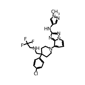 Cn1cc(Nc2nc3c(N4CCC(CNCC(F)(F)F)(c5ccc(Cl)cc5)CC4)cccn3n2)cn1